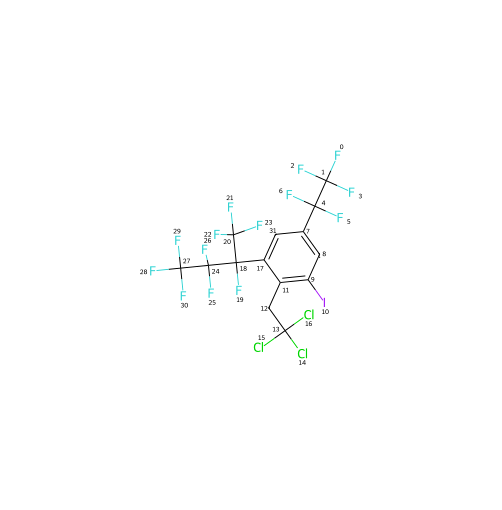 FC(F)(F)C(F)(F)c1[c]c(I)c(CC(Cl)(Cl)Cl)c(C(F)(C(F)(F)F)C(F)(F)C(F)(F)F)c1